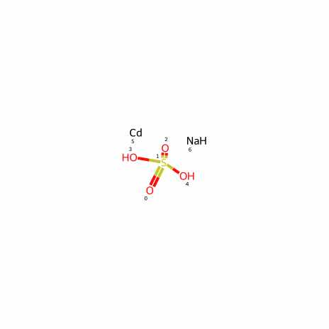 O=S(=O)(O)O.[Cd].[NaH]